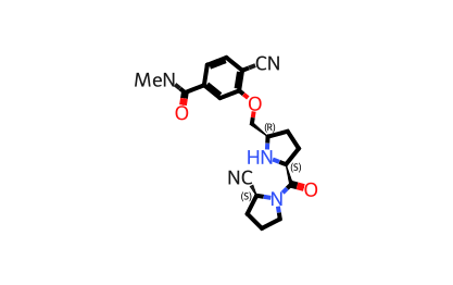 CNC(=O)c1ccc(C#N)c(OC[C@H]2CC[C@@H](C(=O)N3CCC[C@H]3C#N)N2)c1